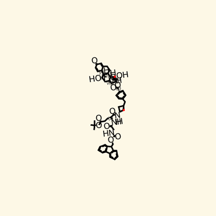 CC(C)(C)OC(=O)CC[C@H](NC(=O)CNC(=O)OCC1c2ccccc2-c2ccccc21)C(=O)NC12CC(Cc3ccc([C@@H]4O[C@@H]5C[C@H]6[C@@H]7CCC8=CC(=O)C=C[C@]8(C)[C@@]7(F)[C@@H](O)C[C@]6(C)[C@]5(C(=O)CO)O4)cc3)(C1)C2